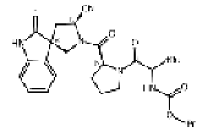 CC(C)OC(=O)NC(C(=O)N1CCC[C@H]1C(=O)N1C[C@]2(C[C@H]1C#N)C(=O)Nc1ccccc12)C(C)(C)C